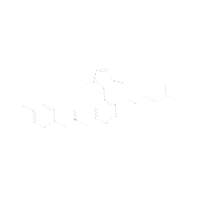 CN(C)CCCOc1ccc(NC(=O)Nc2ccc(Cl)cc2)cc1-c1c(Br)cnn1C